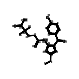 CCc1cc(C(=O)c2ccc(Cl)cc2)c(NC(=O)CSC(C)(C)C(=O)O)s1